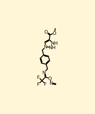 C=NO/C(=N\Cc1ccc(CN2C=C(C(=O)OC)NN2)cc1)C(F)(F)F